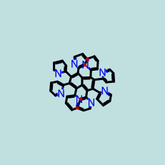 c1ccc(-c2c(-c3ccccn3)c(-c3ccccn3)c3c(-c4ccccn4)c(-c4ccccn4)c(-c4ccccn4)c(-c4ccccn4)c3c2-c2ccccn2)nc1